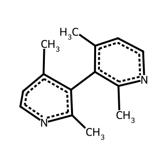 Cc1ccnc(C)c1-c1c(C)ccnc1C